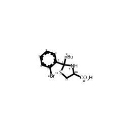 CCCCC1(c2ccccc2Br)NC(C(=O)O)CS1